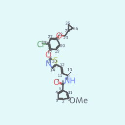 COc1cccc(C(=O)N[C@@H](C)/C=C/c2cnc(Oc3ccc(OCC4CC4)cc3Cl)s2)c1